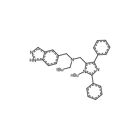 CCCCn1c(-c2ccccc2)nc(-c2ccccc2)c1CN(Cc1ccc2[nH]ncc2c1)CC(C)(C)C